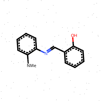 CNc1ccccc1N=Cc1ccccc1O